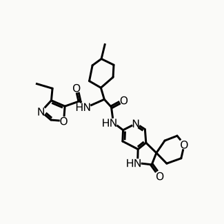 CCc1ncoc1C(=O)NC(C(=O)Nc1cc2c(cn1)C1(CCOCC1)C(=O)N2)C1CCC(C)CC1